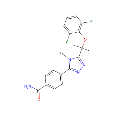 CCn1c(-c2ccc(C(N)=O)cc2)nnc1C(C)(C)Oc1c(F)cccc1F